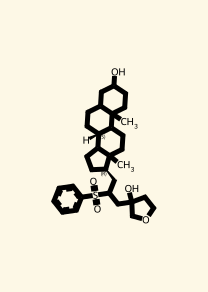 CC12CCC(O)CC1CC[C@@H]1C2CCC2(C)C1CC[C@@H]2CC(CC1(O)CCOC1)S(=O)(=O)c1ccccc1